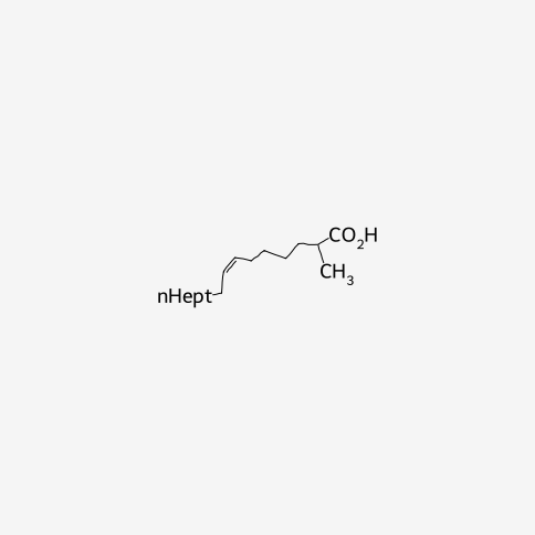 CCCCCCCC/C=C\CCCCC(C)C(=O)O